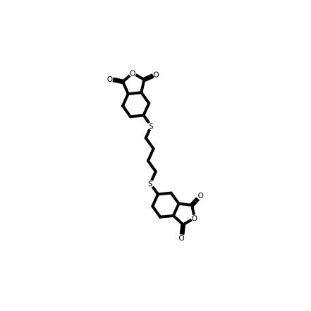 O=C1OC(=O)C2CC(SCCCCSC3CCC4C(=O)OC(=O)C4C3)CCC12